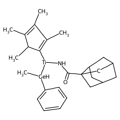 CC1=C(C)C(C)[C]([Ti]([NH]C(=O)C23CC4CC(CC2C4)C3)[GeH]([CH3])[c]2ccccc2)=C1C